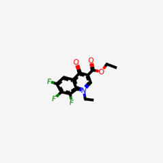 CCOC(=O)c1cn(CC)c2c(F)c(F)c(F)cc2c1=O